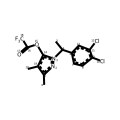 Cc1nn(C(C)c2ccc(Cl)c(Cl)c2)c(OC(=O)C(F)(F)F)c1C